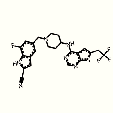 N#Cc1cc2cc(CN3CCC(Nc4ncnc5sc(CC(F)(F)F)cc45)CC3)cc(F)c2[nH]1